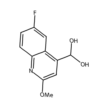 COc1cc(C(O)O)c2cc(F)ccc2n1